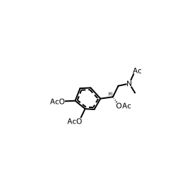 CC(=O)Oc1ccc([C@H](CN(C)C(C)=O)OC(C)=O)cc1OC(C)=O